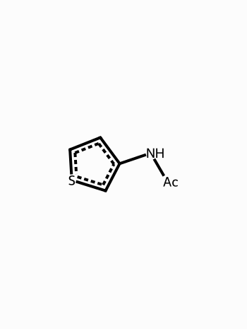 [CH2]C(=O)Nc1ccsc1